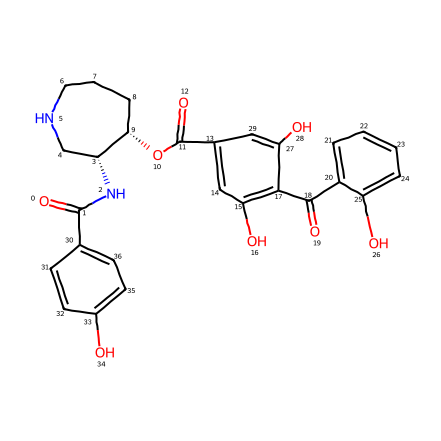 O=C(N[C@@H]1CNCCC[C@@H]1OC(=O)c1cc(O)c(C(=O)c2ccccc2O)c(O)c1)c1ccc(O)cc1